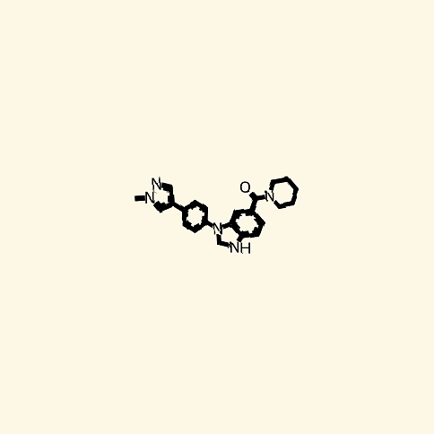 Cn1cc(-c2ccc(N3CNc4ccc(C(=O)N5CCCCC5)cc43)cc2)cn1